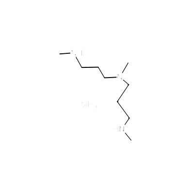 CNCCCN(C)CCCNC.[SiH4]